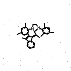 CC1=C/C(=C(/C)C2N(c3c(C)cc(C)cc3C)CCN2c2c(C)cc(C)cc2C)c2ccccc21